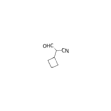 N#CC(C=O)C1CCC1